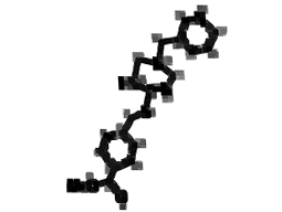 COC(=O)c1ccc(CSC2=NCN(Cc3cccnc3)CN2)cc1